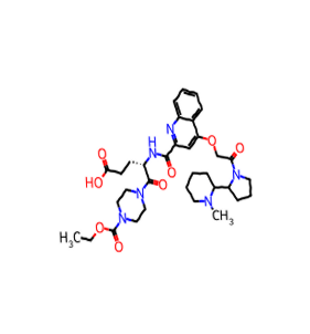 CCOC(=O)N1CCN(C(=O)[C@H](CCC(=O)O)NC(=O)c2cc(OCC(=O)N3CCCC3C3CCCCN3C)c3ccccc3n2)CC1